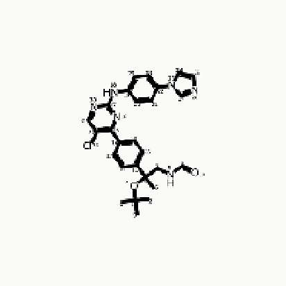 CC(C)(C)OC(C)(CNC=O)c1ccc(-c2nc(Nc3ccc(-n4ccnc4)cc3)ncc2Cl)cc1